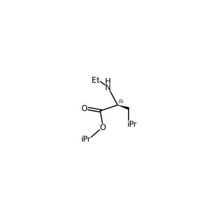 CCN[C@@H](CC(C)C)C(=O)OC(C)C